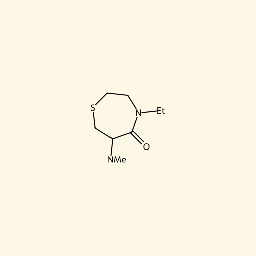 CCN1CCSCC(NC)C1=O